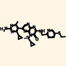 CCSc1ccc(CNc2nc3ncc(-c4c(C)nc(N)nc4C4CC4)nc3n([C@@H](C)C3CC3)c2=O)nc1